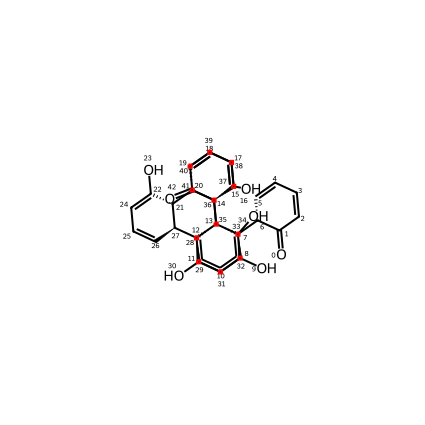 O=C1C=CC=C[C@H]1[C@H]1C(O)=CC=C[C@@H]1[C@@H]1C(O)=CC=C[C@H]1[C@H]1C(O)=CC=C[C@@H]1[C@@H]1C(O)=CC=C(O)[C@H]1[C@H]1C=CC=CC1=O